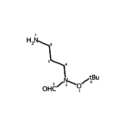 CC(C)(C)ON(C=O)CCCN